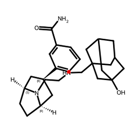 NC(=O)c1cccc([C@H]2C[C@H]3CC[C@@H](C2)N3CCNCC23CC4CC(CC(O)(C4)C2)C3)c1